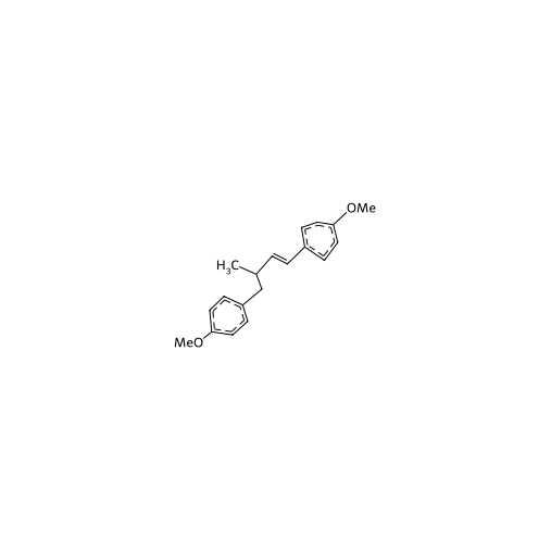 COc1ccc(/C=C/C(C)Cc2ccc(OC)cc2)cc1